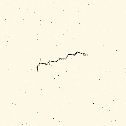 CCC(C)NCCOCCCCO